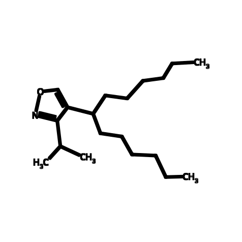 CCCCCCC(CCCCCC)c1conc1C(C)C